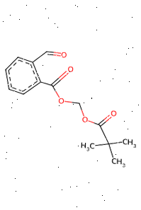 CC(C)(C)C(=O)OCOC(=O)c1ccccc1C=O